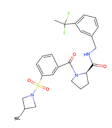 CC(F)(F)c1cccc(CNC(=O)[C@H]2CCCN2C(=O)c2cccc(S(=O)(=O)N3CC(C#N)C3)c2)c1